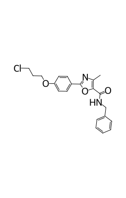 Cc1nc(-c2ccc(OCCCCl)cc2)oc1C(=O)NCc1ccccc1